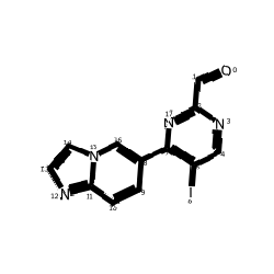 O=Cc1ncc(I)c(-c2ccc3nccn3c2)n1